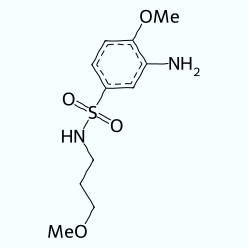 COCCCNS(=O)(=O)c1ccc(OC)c(N)c1